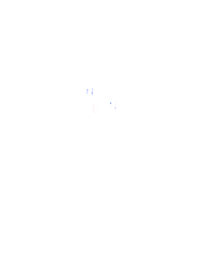 c1ccc(N2B3c4ccccc4-c4c(ccc5c4sc4ccccc45)N3c3ccccc32)cc1